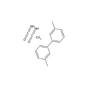 C.Cc1cccc(-c2cccc(C)c2)c1.N=C=O.N=C=O